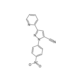 N#Cc1cc(-c2ccccn2)nn1-c1ccc([N+](=O)[O-])cc1